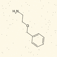 NCCO[CH]c1ccccc1